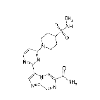 CNS(=O)(=O)C1CCN(c2ccnc(-c3cnc4cnc(C(N)=O)cn34)n2)CC1